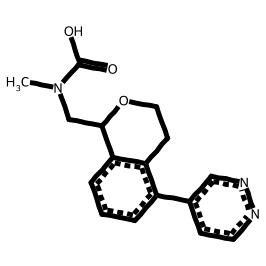 CN(CC1OCCc2c(-c3ccnnc3)cccc21)C(=O)O